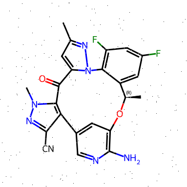 Cc1cc2n(n1)-c1c(F)cc(F)cc1[C@@H](C)Oc1cc(cnc1N)-c1c(C#N)nn(C)c1C2=O